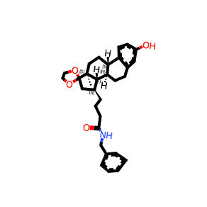 C[C@]12CC[C@@H]3c4ccc(O)cc4CC[C@H]3[C@@H]1[C@@H](CCCC(=O)NCc1ccccc1)CC21OCCO1